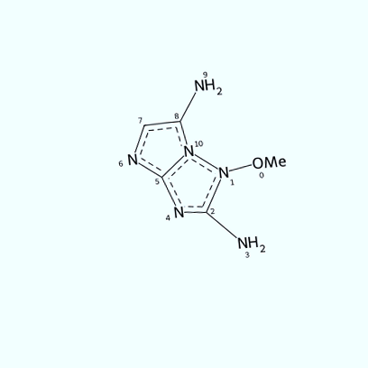 COn1c(N)nc2ncc(N)n21